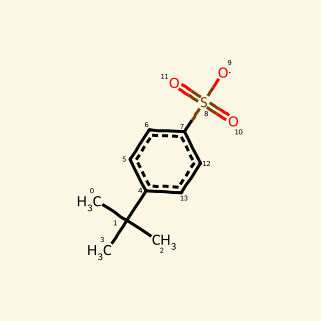 CC(C)(C)c1ccc(S([O])(=O)=O)cc1